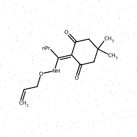 C=CCONC(CCC)=C1C(=O)CC(C)(C)CC1=O